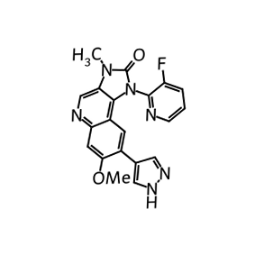 COc1cc2ncc3c(c2cc1-c1cn[nH]c1)n(-c1ncccc1F)c(=O)n3C